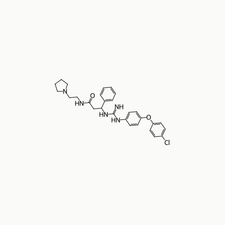 N=C(Nc1ccc(Oc2ccc(Cl)cc2)cc1)NC(CC(=O)NCCN1CCCC1)c1ccccc1